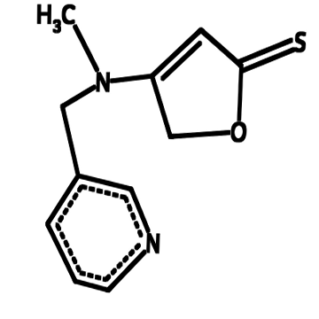 CN(Cc1cccnc1)C1=CC(=S)OC1